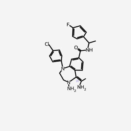 C/C(N)=C1\c2ccc(C(=O)NC(C)c3ccc(F)cc3)cc2N(c2ccc(Cl)cc2)CCN1N